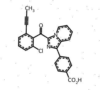 CC#Cc1cccc(Cl)c1C(=O)c1nc(-c2ccc(C(=O)O)cc2)c2ccccn12